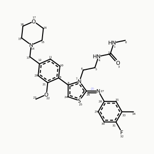 CNC(=O)NCCn1c(-c2ccc(CN3CCOCC3)cc2OC)cs/c1=N\c1ccc(F)c(C)c1